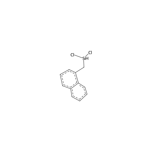 Cl[SiH](Cl)Cc1cccc2ccccc12